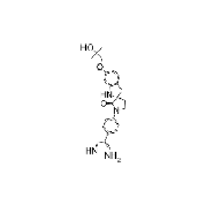 CC(C)(O)COc1ccc2c(c1)NC1(CCN(c3ccc(/C(C=N)=C/N)cc3)C1=O)C2